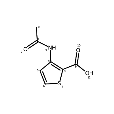 CC(=O)Nc1ccsc1C(=O)O